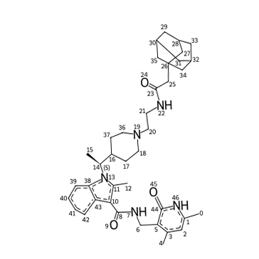 Cc1cc(C)c(CNC(=O)c2c(C)n([C@@H](C)C3CCN(CCNC(=O)CC45CC6CC(CC(C6)C4)C5)CC3)c3ccccc23)c(=O)[nH]1